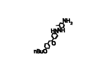 CCCCOc1ccc(CC(=O)c2ccc(NNc3ccc(N)cc3C)cc2)cc1